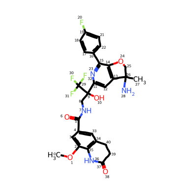 COc1cc(C(=O)NCC(O)(c2cc3c(c(-c4ccc(F)cc4)n2)OCC3(C)N)C(F)(F)F)cc2c1NC(=O)CC2